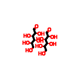 O=C[C@@H](O)[C@@H](O)[C@H](O)[C@H](O)CO.O=C[C@@H](O)[C@@H](O)[C@H](O)[C@H](O)CO